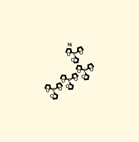 [Ni].c1coc(P(c2ccco2)c2ccco2)c1.c1coc(P(c2ccco2)c2ccco2)c1.c1coc(P(c2ccco2)c2ccco2)c1.c1coc(P(c2ccco2)c2ccco2)c1